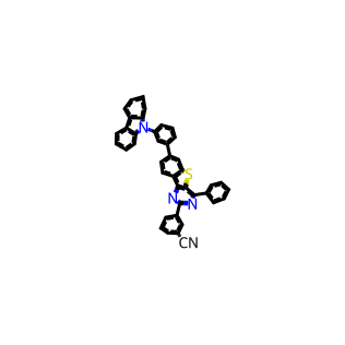 N#Cc1cccc(-c2nc(-c3ccccc3)c3sc4cc(-c5cccc(-n6c7ccccc7c7ccccc76)c5)ccc4c3n2)c1